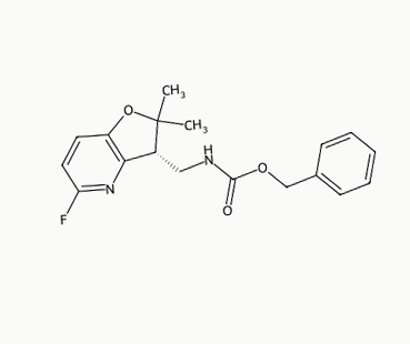 CC1(C)Oc2ccc(F)nc2[C@H]1CNC(=O)OCc1ccccc1